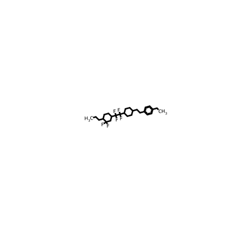 CCCC1CCC(C(F)(F)C(F)(F)C2CCC(CCc3ccc(CC)cc3)CC2)CC1(F)F